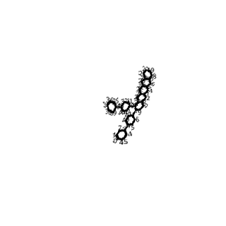 c1ccc(-c2ccc(-c3ccc4cc5cc6cc7ccccc7cc6cc5cc4c3-c3ccc(-c4ccccc4)cc3)cc2)cc1